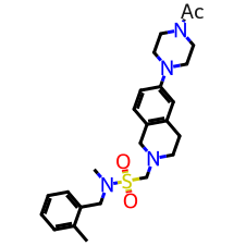 CC(=O)N1CCN(c2ccc3c(c2)CCN(CS(=O)(=O)N(C)Cc2ccccc2C)C3)CC1